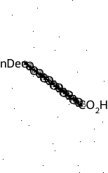 CCCCCCCCCCCCOCCOCCOCCOCCOCCOCCOCCOCCOCCOCCOCC(=O)O